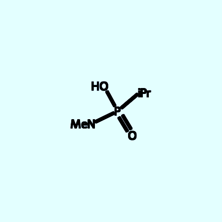 CNP(=O)(O)C(C)C